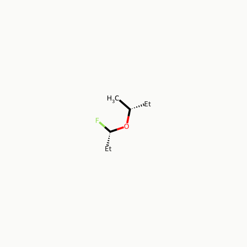 CC[C@@H](C)O[C@@H](F)CC